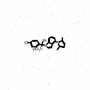 Cc1ccc(C)n1-c1cccc2c1ccn2C(C(=O)O)(c1ccc(Cl)cc1)C(C)C